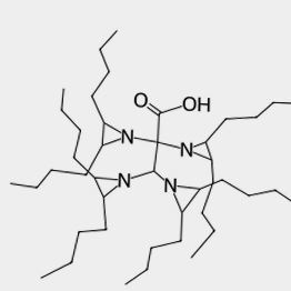 CCCCC1C(CCCC)N1C(N1C(CCCC)C1CCCC)C(C(=O)O)(N1C(CCCC)C1CCCC)N1C(CCCC)C1CCCC